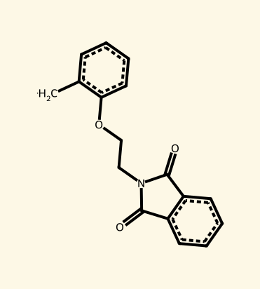 [CH2]c1ccccc1OCCN1C(=O)c2ccccc2C1=O